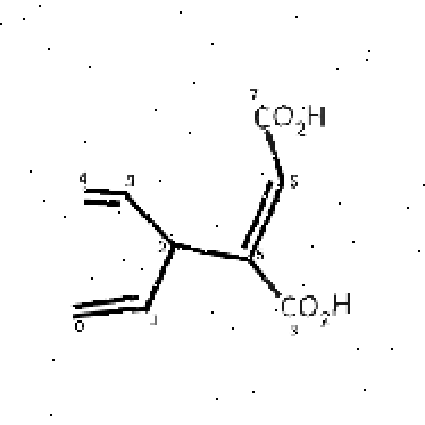 C=CC(C=C)C(=CC(=O)O)C(=O)O